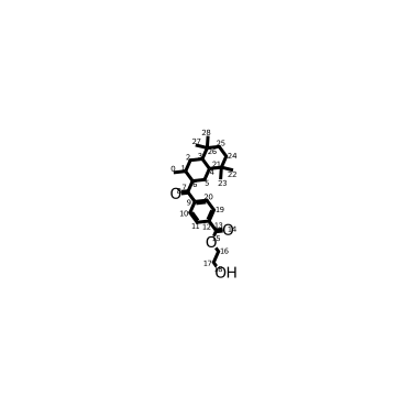 CC1CC2C(CC1C(=O)c1ccc(C(=O)OCCO)cc1)C(C)(C)CCC2(C)C